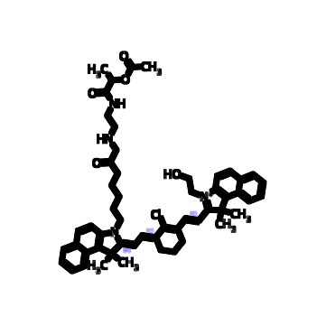 CC(=O)OC(C)C(=O)NCCNCC(=O)CCCCCN1/C(=C\C=C2/CCCC(/C=C/C3=[N+](CCO)c4ccc5ccccc5c4C3(C)C)=C2Cl)C(C)(C)c2c1ccc1ccccc21